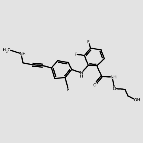 CNCC#Cc1ccc(Nc2c(C(=O)NOCCO)ccc(F)c2F)c(F)c1